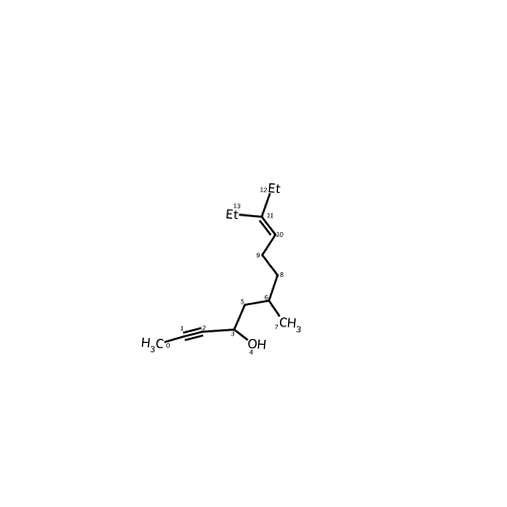 CC#CC(O)CC(C)CCC=C(CC)CC